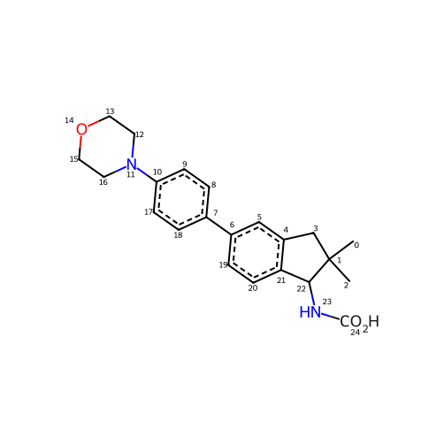 CC1(C)Cc2cc(-c3ccc(N4CCOCC4)cc3)ccc2C1NC(=O)O